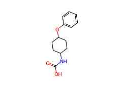 O=C(O)NC1CCC(Oc2ccccc2)CC1